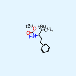 CC(C(CCc1ccccc1)NC(=O)OC(C)(C)C)C(C)(C)C